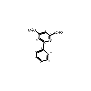 COc1cc(C=O)nc(-c2ccccn2)c1